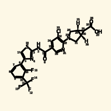 O=C(Nc1nc(-c2cccc(C(F)(F)F)c2F)cs1)c1cnc(N2C[C@@H]3C(C(=O)O)[C@@H]3C2)c(Cl)c1